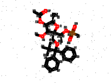 B[C@@H]1O[C@@](CO[Si](c2ccccc2)(c2ccccc2)C(C)(C)C)([C@@H](C)OS(C)(=O)=O)[C@@H](OC)[C@H]1OC(C)=O